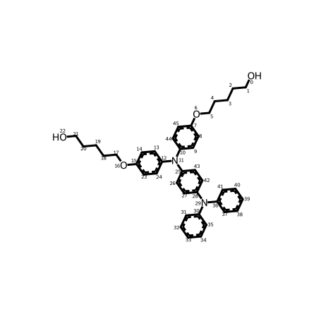 OCCCCCOc1ccc(N(c2ccc(OCCCCCO)cc2)c2ccc(N(c3ccccc3)c3ccccc3)cc2)cc1